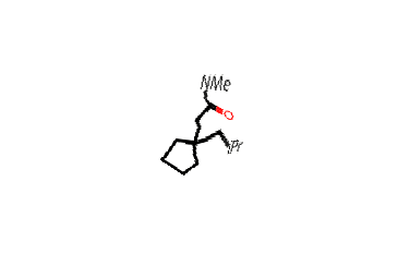 CNC(=O)CC1(CC(C)C)CCCC1